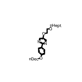 CCCCCCCCCCOc1ccc(-c2ncc(OCCOCCCCCCC)cn2)cc1